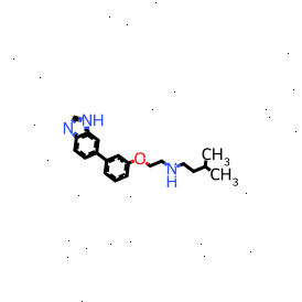 CC(C)CCNCCOc1cccc(-c2ccc3nc[nH]c3c2)c1